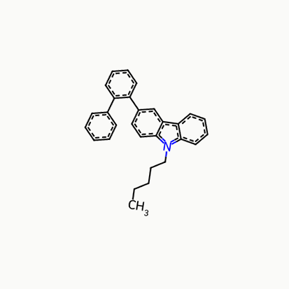 CCCCCn1c2ccccc2c2cc(-c3ccccc3-c3ccccc3)ccc21